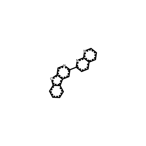 c1cnc2nc(-c3cc4c(cn3)oc3ccccc34)ccc2c1